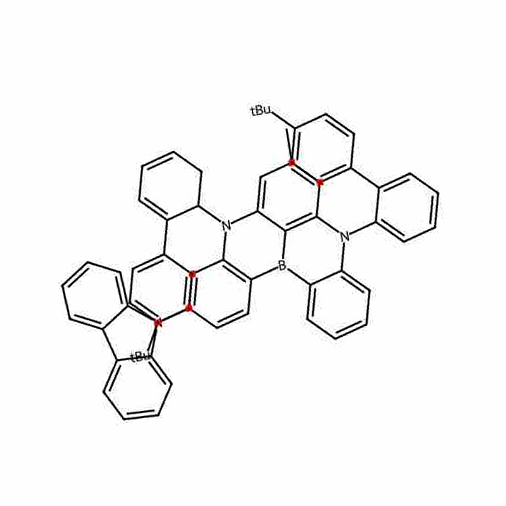 Cc1cc2c3c(c1)N(C1CC=CC=C1c1ccc(C(C)(C)C)cc1)c1cc(-n4c5ccccc5c5ccccc54)ccc1B3c1ccccc1N2c1ccccc1-c1ccc(C(C)(C)C)cc1